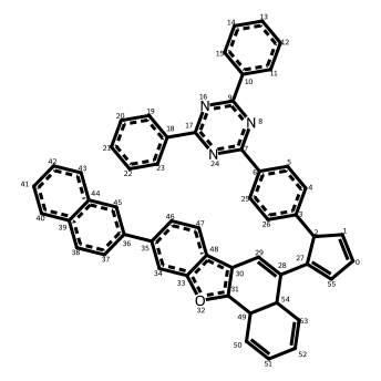 C1=CC(c2ccc(-c3nc(-c4ccccc4)nc(-c4ccccc4)n3)cc2)C(C2=Cc3c(oc4cc(-c5ccc6ccccc6c5)ccc34)C3C=CC=CC23)=C1